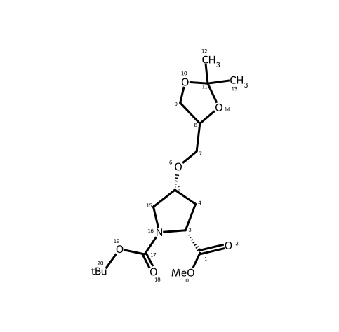 COC(=O)[C@H]1C[C@@H](OCC2COC(C)(C)O2)CN1C(=O)OC(C)(C)C